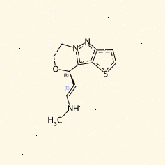 CN/C=C/[C@H]1OCCn2nc3ccsc3c21